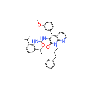 COc1cccc(-c2c(NC(=O)Nc3c(C(C)C)cccc3C(C)C)c(=O)n(CCCc3ccccc3)c3ncccc23)c1